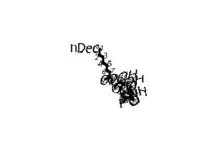 CCCCCCCCCCCCCCCCCC(=O)OC[C@H]1O[C@@H](n2cc(F)c(=O)[nH]c2=O)[C@H](O)[C@@H]1O